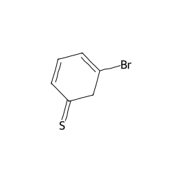 S=C1C=CC=C(Br)C1